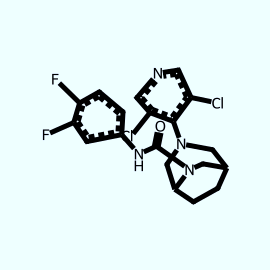 O=C(Nc1ccc(F)c(F)c1)N1CC2CCC1CN(c1c(Cl)cncc1Cl)C2